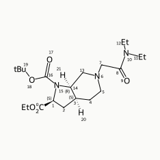 CCOC(=O)[C@@H]1C[C@@H]2CCN(CC(=O)N(CC)CC)C[C@@H]2N1C(=O)OC(C)(C)C